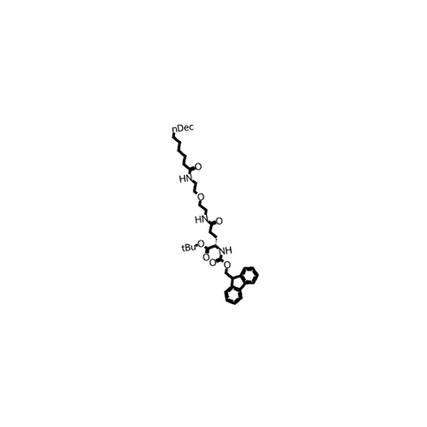 CCCCCCCCCCCCCCCC(=O)NCCOCCNC(=O)CC[C@H](NC(=O)OCC1c2ccccc2-c2ccccc21)C(=O)OC(C)(C)C